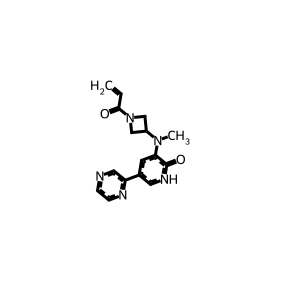 C=CC(=O)N1CC(N(C)c2cc(-c3cnccn3)c[nH]c2=O)C1